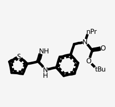 CCCN(Cc1cccc(NC(=N)c2cccs2)c1)C(=O)OC(C)(C)C